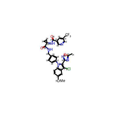 COc1ccc2c(c1)c(Cl)c(-c1noc(C)n1)n2-c1ccc(CNC(=O)C2(NC(=O)c3cncc(C(F)(F)F)c3)CC2)cc1